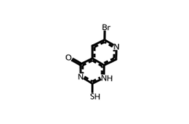 O=c1nc(S)[nH]c2cnc(Br)cc12